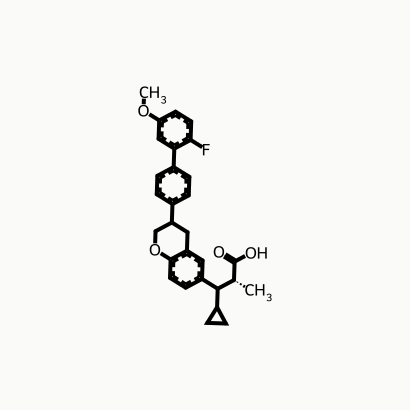 COc1ccc(F)c(-c2ccc(C3COc4ccc(C(C5CC5)[C@@H](C)C(=O)O)cc4C3)cc2)c1